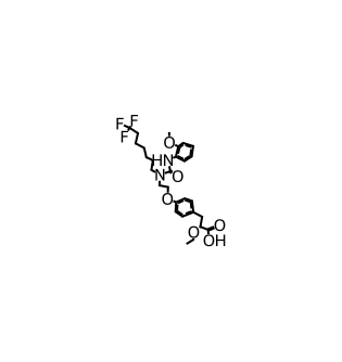 CCOC(Cc1ccc(OCCN(CCCCCCC(F)(F)F)C(=O)Nc2ccccc2OC)cc1)C(=O)O